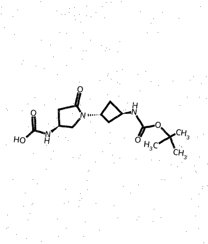 CC(C)(C)OC(=O)N[C@H]1C[C@H](N2C[C@@H](NC(=O)O)CC2=O)C1